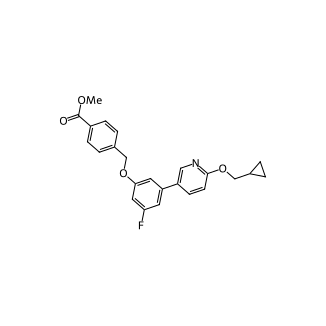 COC(=O)c1ccc(COc2cc(F)cc(-c3ccc(OCC4CC4)nc3)c2)cc1